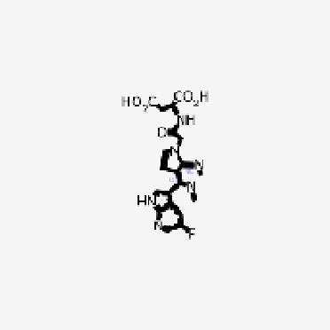 C=N/C(=C1/C=CN(CC(=O)NC(CC(=O)O)C(=O)O)/C1=N/C)c1c[nH]c2ncc(F)cc12